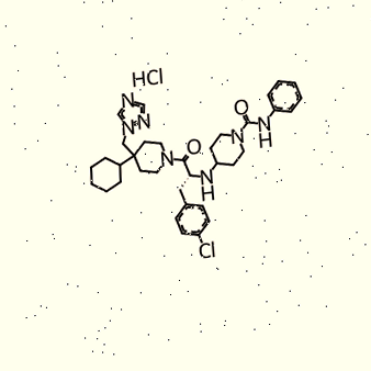 Cl.O=C(Nc1ccccc1)N1CCC(N[C@H](Cc2ccc(Cl)cc2)C(=O)N2CCC(Cn3cncn3)(C3CCCCC3)CC2)CC1